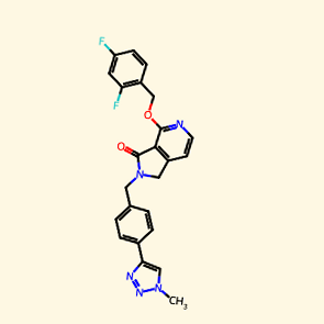 Cn1cc(-c2ccc(CN3Cc4ccnc(OCc5ccc(F)cc5F)c4C3=O)cc2)nn1